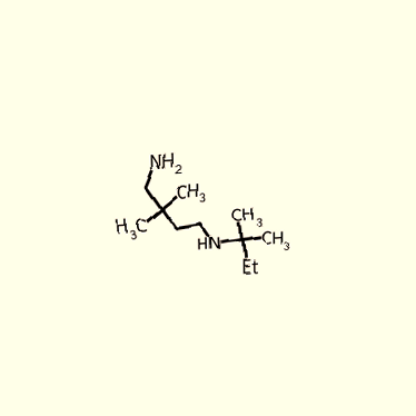 CCC(C)(C)NCCC(C)(C)CN